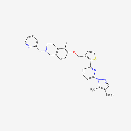 Cc1c(OCc2ccsc2-c2cccc(-n3ncc(C(=O)O)c3C(F)(F)F)n2)ccc2c1CCN(Cc1ccccn1)C2